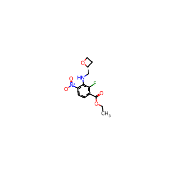 CCOC(=O)c1ccc([N+](=O)[O-])c(NC[C@@H]2CCO2)c1F